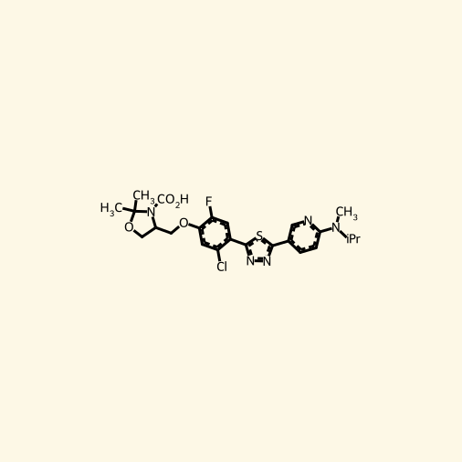 CC(C)N(C)c1ccc(-c2nnc(-c3cc(F)c(OCC4COC(C)(C)N4C(=O)O)cc3Cl)s2)cn1